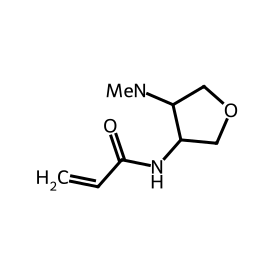 C=CC(=O)NC1COCC1NC